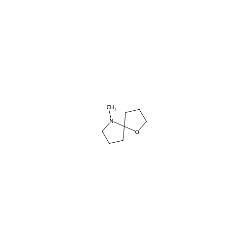 CN1CCCC12CCCO2